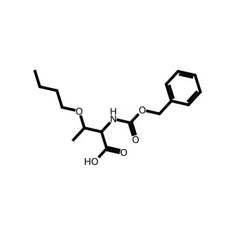 CCCCOC(C)C(NC(=O)OCc1ccccc1)C(=O)O